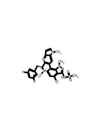 Cn1ccc2nc([C@H](Cc3cc(F)cc(F)c3)NC(=O)O)c(-c3ccc(Cl)c4c(NS(C)(=O)=O)nn(C)c34)cc21